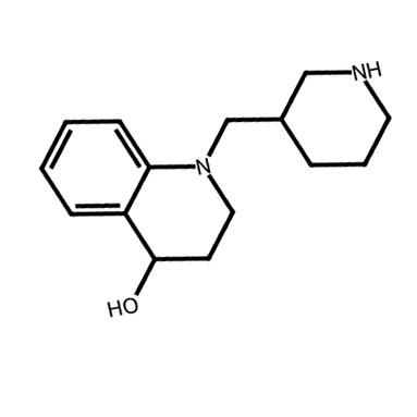 OC1CCN(CC2CCCNC2)c2ccccc21